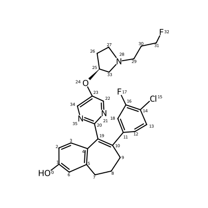 Oc1ccc2c(c1)CCCC(c1ccc(Cl)c(F)c1)=C2c1ncc(O[C@H]2CCN(CCCF)C2)cn1